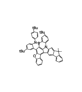 CC(C)(C)c1ccc(N2B3c4cc(C(C)(C)C)ccc4-n4c5cc6c(cc5c5c7c(oc8ccccc87)c(c3c54)-c3cc(C(C)(C)C)ccc32)-c2ccccc2C6(C)C)cc1